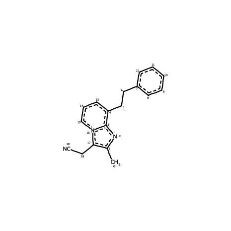 Cc1nc2c(CCc3ccccc3)cccn2c1CC#N